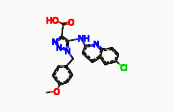 COc1ccc(Cn2nnc(C(=O)O)c2Nc2ccc3cc(Cl)ccc3n2)cc1